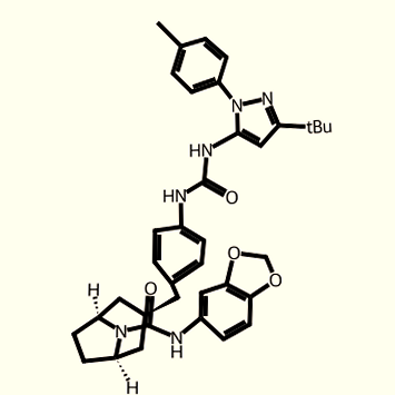 Cc1ccc(-n2nc(C(C)(C)C)cc2NC(=O)Nc2ccc(C[C@H]3C[C@H]4CC[C@@H](C3)N4C(=O)Nc3ccc4c(c3)OCO4)cc2)cc1